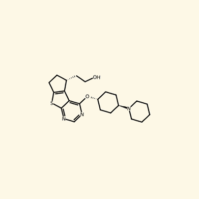 OCC[C@H]1CCc2sc3ncnc(O[C@H]4CC[C@H](N5CCCCC5)CC4)c3c21